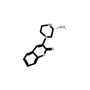 C[C@@H]1CN(c2cc3ccccc3oc2=O)CCN1